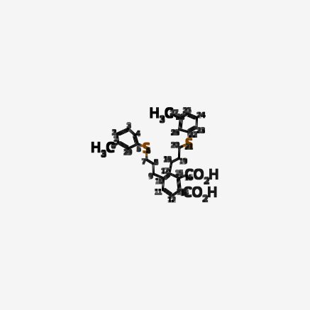 Cc1cccc(SCCCc2ccc(C(=O)O)c(C(=O)O)c2CCCSc2cccc(C)c2)c1